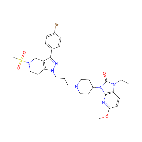 CCn1c(=O)n(C2CCN(CCCn3nc(-c4ccc(Br)cc4)c4c3CCN(S(C)(=O)=O)C4)CC2)c2nc(OC)ccc21